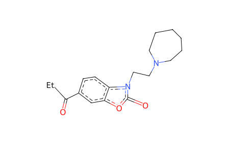 CCC(=O)c1ccc2c(c1)oc(=O)n2CCN1CCCCCC1